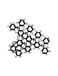 c1ccc(N(c2ccccc2)c2ccc3c(c2)N(c2ccccc2)c2cc4c5c6c2B3c2cccc3c2N6c2c(cc6oc7ccccc7c6c2N3c2ccccc2)B5c2ccc(N(c3ccccc3)c3ccccc3)cc2N4c2ccccc2)cc1